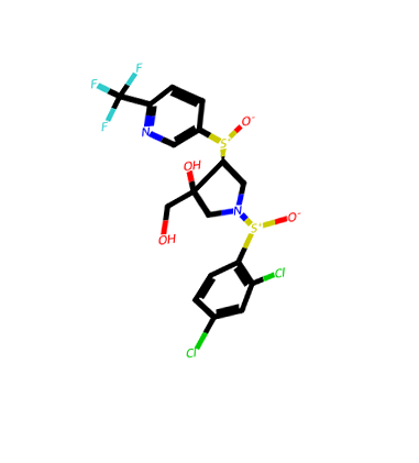 [O-][S+](c1ccc(C(F)(F)F)nc1)[C@H]1CN([S+]([O-])c2ccc(Cl)cc2Cl)CC1(O)CO